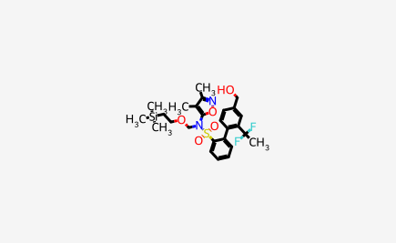 Cc1noc(N(COCC[Si](C)(C)C)S(=O)(=O)c2ccccc2-c2ccc(CO)cc2C(C)(F)F)c1C